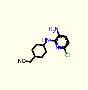 N#CCC1CCC(Nc2nc(Cl)ccc2N)CC1